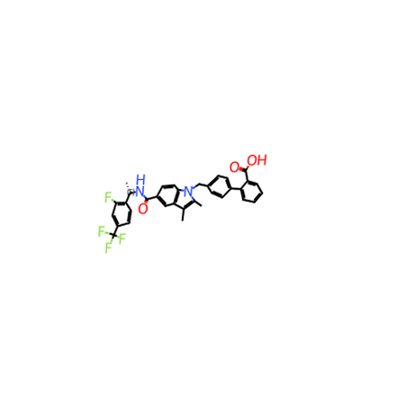 Cc1c(C)n(Cc2ccc(-c3ccccc3C(=O)O)cc2)c2ccc(C(=O)N[C@@H](C)c3ccc(C(F)(F)F)cc3F)cc12